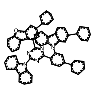 c1ccc(-c2ccc(-c3nc(-c4cc(-c5ccccc5)cc5oc6ccccc6c45)nc(-n4c5ccccc5c5ccccc54)n3)c(-n3c4ccccc4c4ccc(-c5ccccc5)cc43)c2)cc1